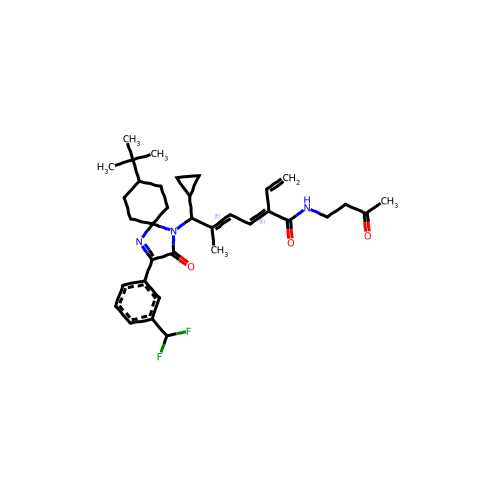 C=C/C(=C\C=C(/C)C(C1CC1)N1C(=O)C(c2cccc(C(F)F)c2)=NC12CCC(C(C)(C)C)CC2)C(=O)NCCC(C)=O